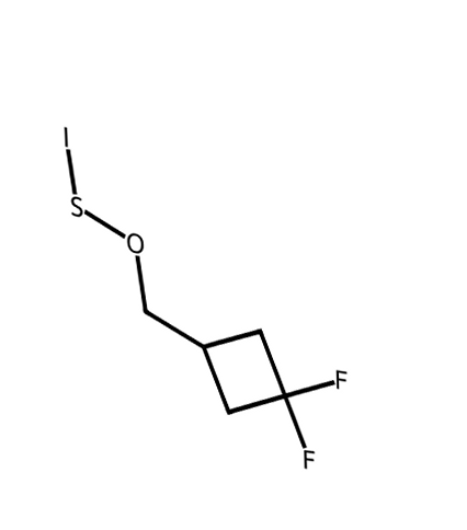 FC1(F)CC(COSI)C1